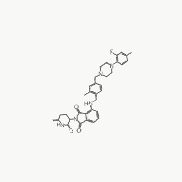 C=C1CCC(N2C(=O)c3cccc(NCc4ccc(CN5CCN(c6ccc(C)cc6F)CC5)cc4C)c3C2=O)C(=O)N1